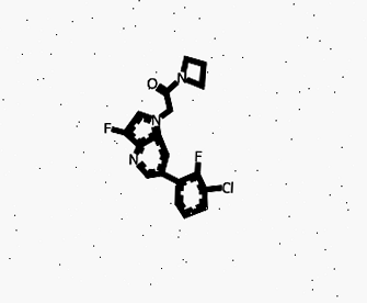 O=C(Cn1cc(F)c2ncc(-c3cccc(Cl)c3F)cc21)N1CCC1